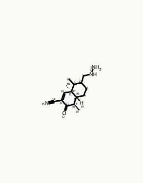 CC1C(CNN)CC[C@@H]2[C@@H](C)C(=O)C(C#N)=C[C@@]12C